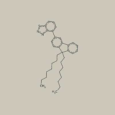 CCCCCCCCC1(CCCCCCCC)c2ccccc2-c2cc(-c3cccc4snnc34)ccc21